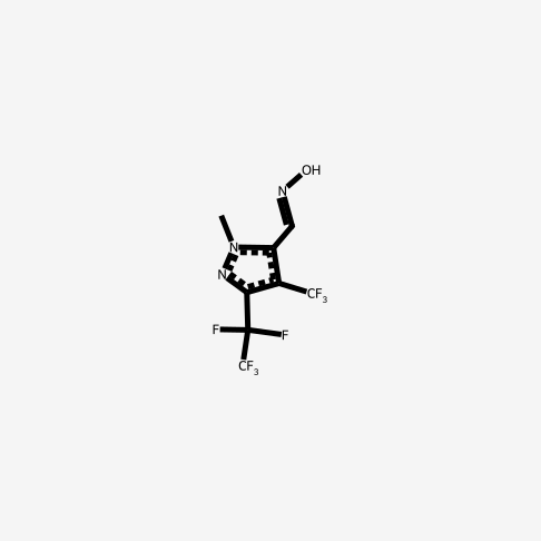 Cn1nc(C(F)(F)C(F)(F)F)c(C(F)(F)F)c1/C=N/O